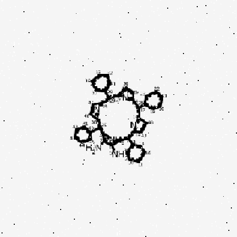 Nc1c(N)c2[nH]c1c(-c1ccccc1)c1nc(c(-c3ccccc3)c3ccc([nH]3)c(-c3ccccc3)c3nc(c2-c2ccccc2)C=C3)C=C1